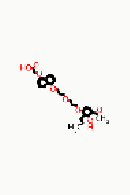 CCCc1c(OCCCOCCCOc2cccc3c(OCC(=O)O)cccc23)ccc(C(C)=O)c1O